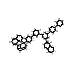 c1ccc(-c2ccc(-c3nc(-c4cccc(-c5ccc6c(c5)-c5ccc7ccccc7c5C65C6CC7CC(C6)CC5C7)c4)nc(-c4ccc5ccccc5c4)n3)cc2)cc1